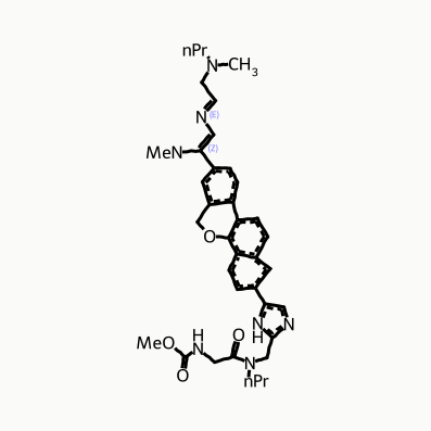 CCCN(C)C/C=N/C=C(\NC)c1ccc2c(c1)COc1c-2ccc2cc(-c3cnc(CN(CCC)C(=O)CNC(=O)OC)[nH]3)ccc12